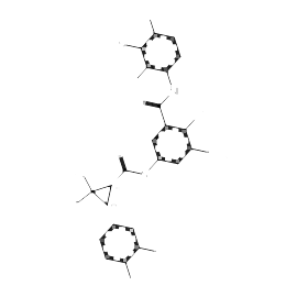 Cc1cc(NC(=O)[C@H]2[C@H](c3ccc(F)c(C(F)(F)F)c3)C2(Cl)Cl)cc(C(=O)Nc2ccc(F)c(N)c2F)c1Cl